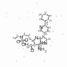 C=CN(/C=C\Cc1nc2c(-c3ccc(-c4ccccc4)nc3)cnn2c(N)c1C(C)=O)S(=O)(=O)O